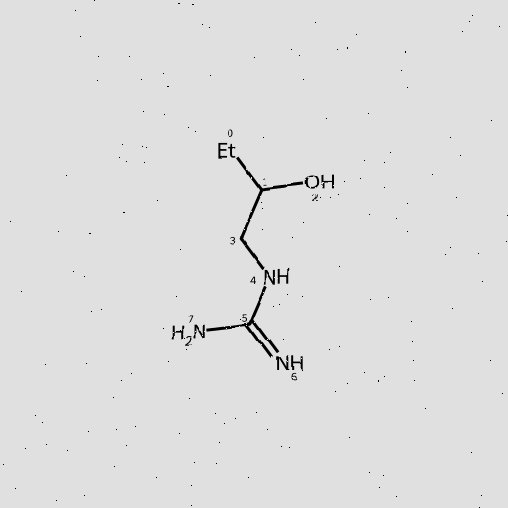 CCC(O)CNC(=N)N